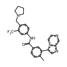 Cc1ccc(C(=O)Nc2ccc(CN3CCCC3)c(C(F)(F)F)c2)cc1-c1cnc2cnccn12